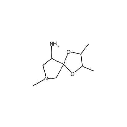 CC1OC2(CN(C)CC2N)OC1C